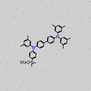 CO[Si](C)(C)c1ccc(N(c2ccc(-c3ccc(N(c4cc(C)cc(C)c4)c4cc(C)cc(C)c4)cc3)cc2)c2cc(C)cc(C)c2)cc1